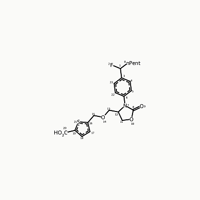 CCCCCC(F)c1ccc(N2C(=O)OCC2COCc2ccc(C(=O)O)s2)cc1